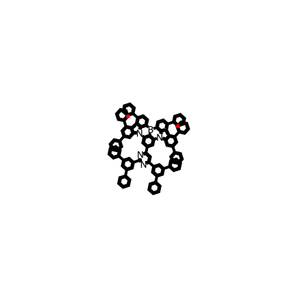 c1ccc(-c2cc(-c3ccccc3)cc(-c3cc(-c4cc5c6c(c4)-n4c7cc(-c8ccccc8)cc(-c8ccccc8)c7c7c(-c8ccccc8)ccc(c74)B6c4ccc(-c6ccccc6)c6c7c(-c8ccccc8)cc(-c8ccccc8)cc7n-5c46)nc(-c4cc(-c5ccccc5)cc(-c5ccccc5)c4)n3)c2)cc1